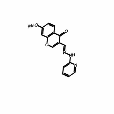 COc1ccc2c(=O)c(C=NNc3ccccn3)coc2c1